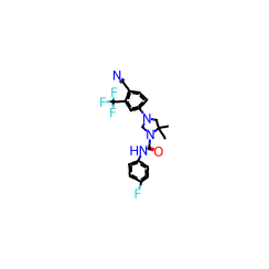 CC1(C)CN(c2ccc(C#N)c(C(F)(F)F)c2)CN1C(=O)Nc1ccc(F)cc1